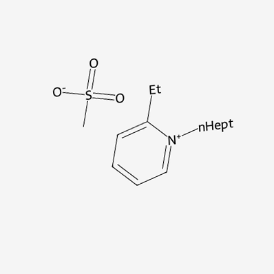 CCCCCCC[n+]1ccccc1CC.CS(=O)(=O)[O-]